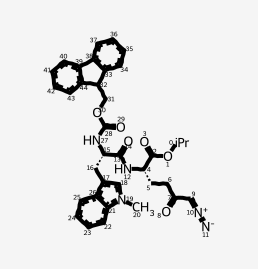 CC(C)OC(=O)[C@H](CCC(=O)C=[N+]=[N-])NC(=O)[C@H](Cc1cn(C)c2ccccc12)NC(=O)OCC1c2ccccc2-c2ccccc21